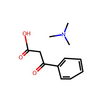 CN(C)C.O=C(O)CC(=O)c1ccccc1